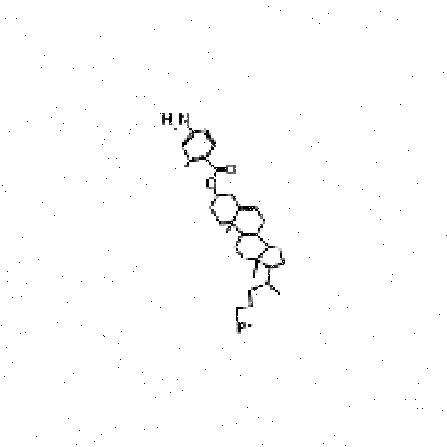 Cc1cc(N)ccc1C(=O)OC1CCC2(C)C(=CCC3C2CCC2(C)C(C(C)CCCC(C)C)CCC32)C1